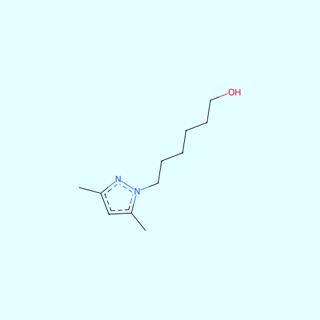 Cc1cc(C)n(CCCCCCO)n1